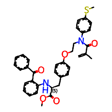 C=C(C)C(=O)N(CCOc1ccc(C[C@H](Nc2ccccc2C(=O)c2ccccc2)C(=O)OC)cc1)c1ccc(SC)cc1